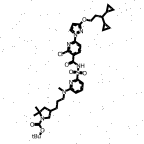 CN(CCCC1CN(C(=O)OC(C)(C)C)C(C)(C)C1)c1cccc(S(=O)(=O)NC(=O)c2ccc(-n3ccc(OCCC(C4CC4)C4CC4)n3)nc2Cl)n1